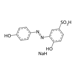 O=S(=O)(O)c1ccc(O)c(/N=N/c2ccc(O)cc2)c1.[NaH]